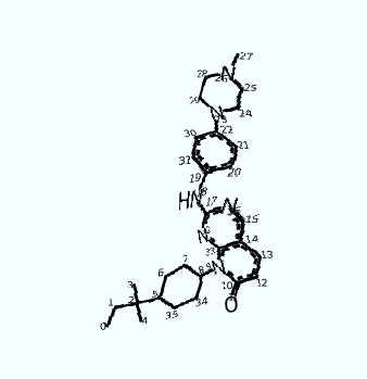 CCC(C)(C)C1CCC(n2c(=O)ccc3cnc(Nc4ccc(N5CCN(C)CC5)cc4)nc32)CC1